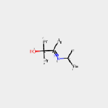 CCC(C)C(C)/N=C(\C(C)C)C(O)(C(C)C)C(C)C